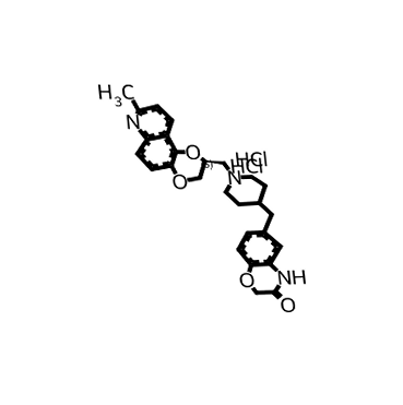 Cc1ccc2c3c(ccc2n1)OC[C@H](CN1CCC(Cc2ccc4c(c2)NC(=O)CO4)CC1)O3.Cl.Cl